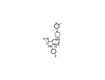 Cc1cc(N2CCC(CC#N)(N/C=C(\C(=N)Nc3ccc(F)cc3)C(N)=O)CC2)ccn1